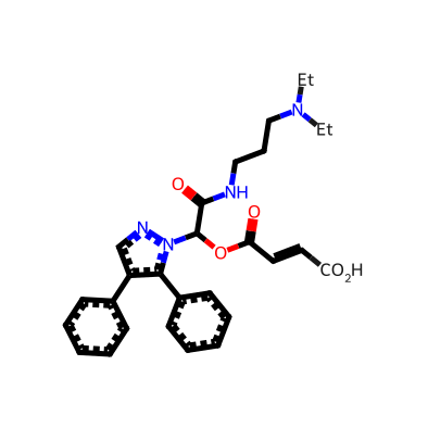 CCN(CC)CCCNC(=O)C(OC(=O)/C=C/C(=O)O)n1ncc(-c2ccccc2)c1-c1ccccc1